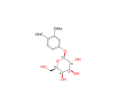 COc1cc(O[C@@H]2O[C@H](CO)[C@H](O)[C@H](O)[C@H]2O)ccc1C=O